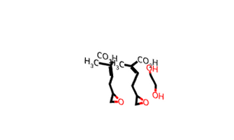 CC(=CCC1CO1)C(=O)O.CC(=CCC1CO1)C(=O)O.OCCO